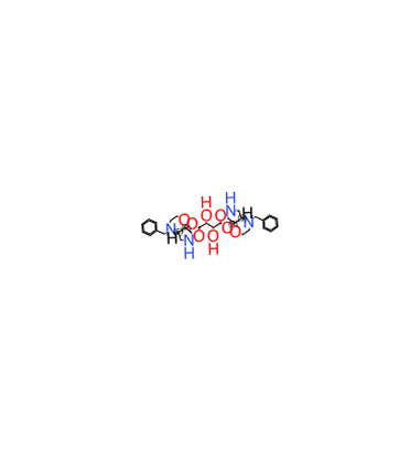 O=C(O[C@]12CNC[C@@H]1N(Cc1ccccc1)CCO2)C(O)C(O)C(=O)O[C@]12CNC[C@@H]1N(Cc1ccccc1)CCO2